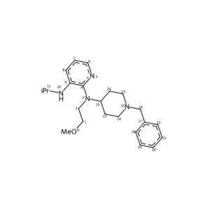 COCCN(c1ncccc1NC(C)C)C1CCN(Cc2ccccc2)CC1